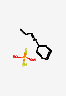 CC[CH]=[Zn][c]1ccccc1.OP(O)(=S)S